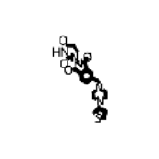 O=C1CCN(N2C(=O)c3ccc(CN4CCN(c5ccsc5)CC4)cc3C2=O)C(=O)N1